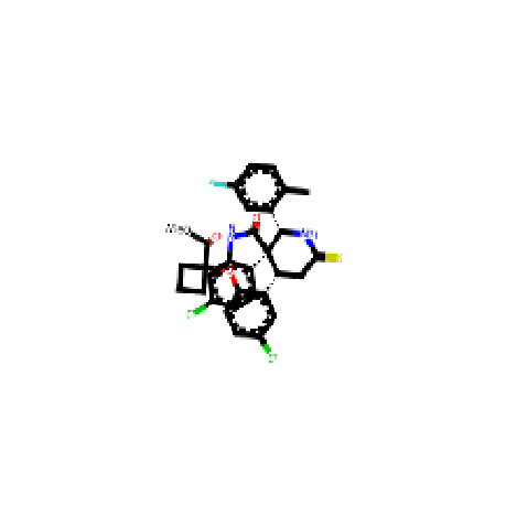 COC(=O)C1(Oc2ccc(Cl)cc2[C@H]2CC(=S)N[C@@H](c3cc(F)ccc3C)[C@]23C(=O)Nc2cc(Cl)ccc23)CCC1